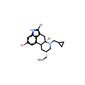 CCc1[nH]c2cc(Br)cc3c2c1C[C@@H]1C3C[C@@H](CSC)CN1CC1CC1